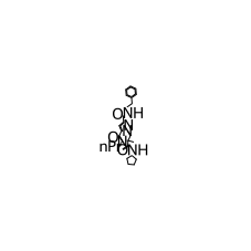 CCCN1C(=O)c2cc(C(=O)NCCc3ccccc3)nn2CC1(C)C(=O)NC1CCCC1